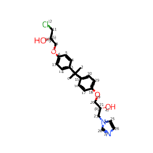 CC(C)(c1ccc(OC[C@H](O)CCl)cc1)c1ccc(OC[C@H](O)Cn2ccnc2)cc1